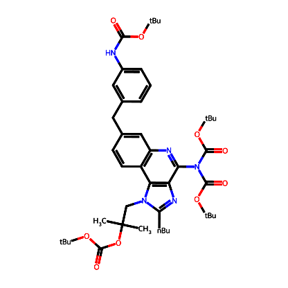 CCCCc1nc2c(N(C(=O)OC(C)(C)C)C(=O)OC(C)(C)C)nc3cc(Cc4cccc(NC(=O)OC(C)(C)C)c4)ccc3c2n1CC(C)(C)OC(=O)OC(C)(C)C